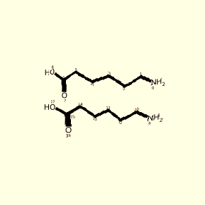 NCCCCCC(=O)O.NCCCCCC(=O)O